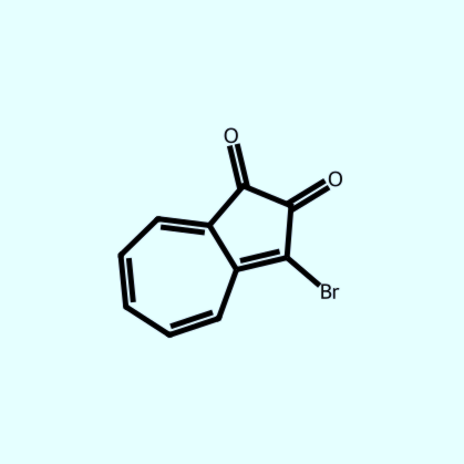 O=C1C(=O)C(Br)=C2C=CC=CC=C12